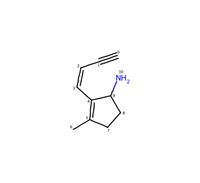 C#C/C=C\C1=C(C)CCC1N